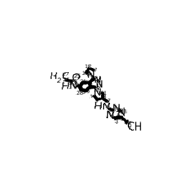 C#Cc1cnc(NCC2CCN(c3nnc(N4CCC4)c4cc(NC(=O)C=C)ccc34)C2)nn1